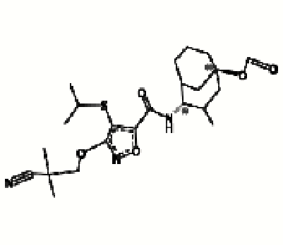 CC(C)Sc1c(OCC(C)(C)C#N)noc1C(=O)N[C@H]1C(C)C[C@@]2(OC=O)CCCC1C2